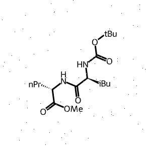 CCC[C@H](NC(=O)[C@@H](NC(=O)OC(C)(C)C)C(C)CC)C(=O)OC